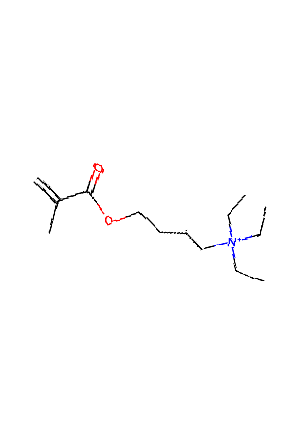 C=C(C)C(=O)OCC[CH]C[N+](CC)(CC)CC